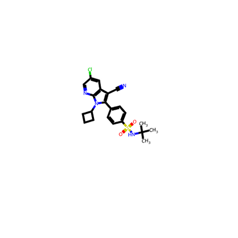 CC(C)(C)NS(=O)(=O)c1ccc(-c2c(C#N)c3cc(Cl)cnc3n2C2CCC2)cc1